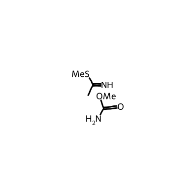 COC(N)=O.CSC(C)=N